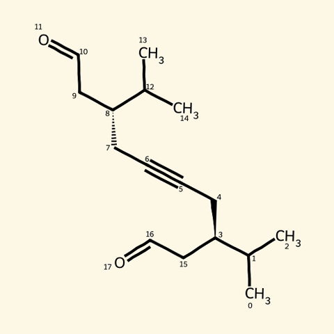 CC(C)[C@H](CC#CC[C@H](CC=O)C(C)C)CC=O